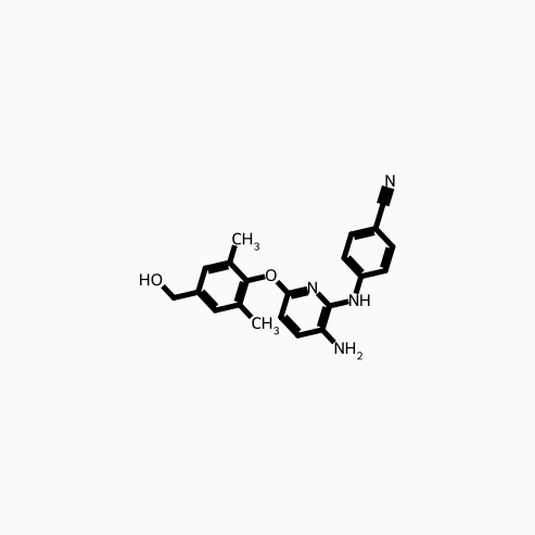 Cc1cc(CO)cc(C)c1Oc1ccc(N)c(Nc2ccc(C#N)cc2)n1